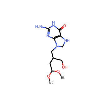 CCOC(CC(CO)CN1CNc2c1nc(N)[nH]c2=O)OCC